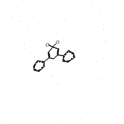 ClC1(Cl)C=C(c2ccccc2)CC(c2ccccc2)=C1